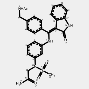 CC(=O)NCc1ccc(/C(Nc2cccc(N(CC(N)=O)S(C)(=O)=O)c2)=C2/C(=O)Nc3ccccc32)cc1